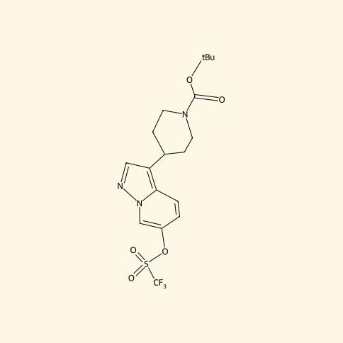 CC(C)(C)OC(=O)N1CCC(c2cnn3cc(OS(=O)(=O)C(F)(F)F)ccc23)CC1